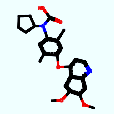 COc1cc2nccc(Oc3cc(C)c(N(C(=O)O)C4CCCC4)cc3C)c2cc1OC